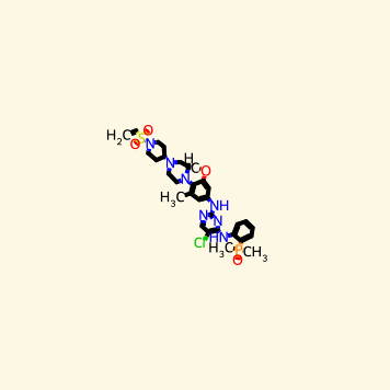 C=CS(=O)(=O)N1CCC(N2CCN3c4c(C)cc(Nc5ncc(Cl)c(Nc6ccccc6P(C)(C)=O)n5)cc4OC[C@H]3C2)CC1